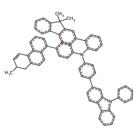 CC1C=Cc2c(ccc3c(-c4ccc(N(c5ccc(-c6ccc7c8ccccc8n(-c8ccccc8)c7c6)cc5)c5ccccc5-c5ccc6c(c5)C(C)(C)c5ccccc5-6)cc4)cccc23)C1